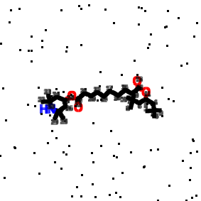 CC(C)(C)CC(CC(C)(C)C)OC(=O)CCCCCCCCC(=O)OC1CC(C)(C)NC(C)(C)C1